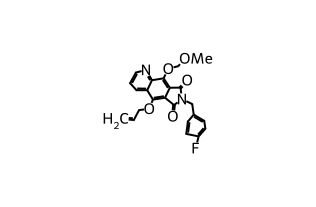 C=CCOc1c2c(c(OCOC)c3ncccc13)C(=O)N(Cc1ccc(F)cc1)C2=O